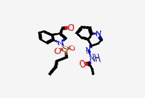 CC(=O)NN=C1CC=Nc2ccccc21.CCCCS(=O)(=O)n1cc(C=O)c2ccccc21